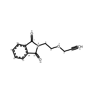 C#CCOCCN1C(=O)c2ccccc2C1=O